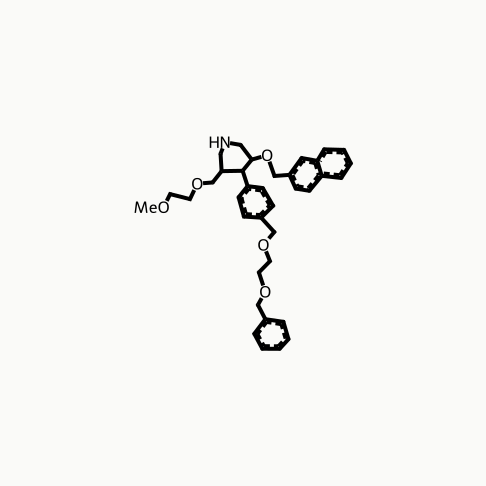 COCCOCC1CNCC(OCc2ccc3ccccc3c2)C1c1ccc(COCCOCc2ccccc2)cc1